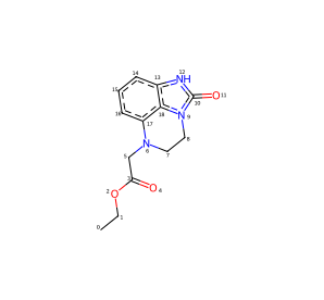 CCOC(=O)CN1CCn2c(=O)[nH]c3cccc1c32